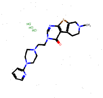 CN1CCc2c(sc3ncn(CCN4CCN(c5ccccn5)CC4)c(=O)c23)C1.Cl.Cl.Cl